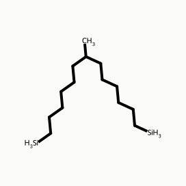 CC(CCCCCC[SiH3])CCCCCC[SiH3]